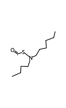 CCCCCCN(CCCC)S[C]=O